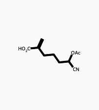 C=C(CCCC(C#N)OC(C)=O)C(=O)O